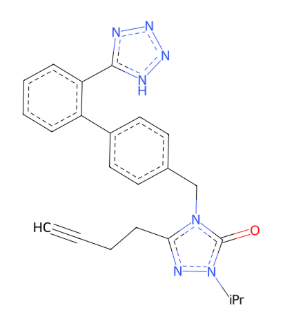 C#CCCc1nn(C(C)C)c(=O)n1Cc1ccc(-c2ccccc2-c2nnn[nH]2)cc1